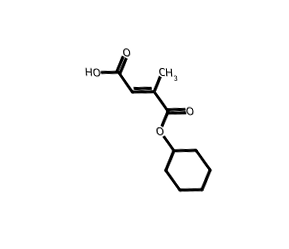 CC(=CC(=O)O)C(=O)OC1CCCCC1